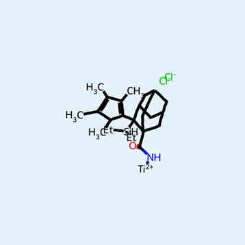 CC[SiH](CC)C1(C2=C(C)C(C)=C(C)C2C)C2CC3CC(C2)CC1(C(=O)[NH][Ti+2])C3.[Cl-].[Cl-]